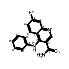 NC(=O)c1cnc2cc(F)ccc2c1Nc1ccccc1